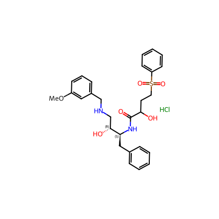 COc1cccc(CNC[C@@H](O)[C@H](Cc2ccccc2)NC(=O)C(O)CCS(=O)(=O)c2ccccc2)c1.Cl